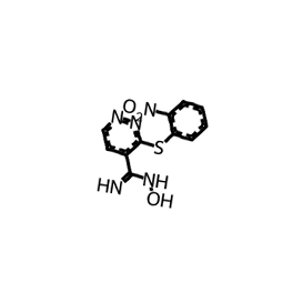 N=C(NO)c1ccnnc1Sc1ccccc1[N+](=O)[O-]